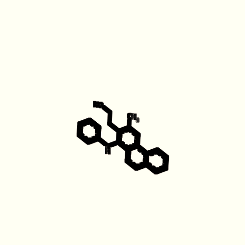 Cc1cc2c(ccc3ccccc32)c(Nc2ccccc2)c1CCO